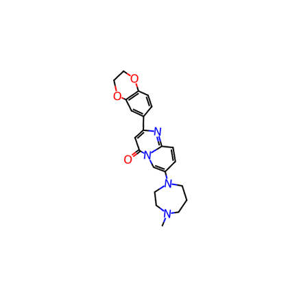 CN1CCCN(c2ccc3nc(-c4ccc5c(c4)OCCO5)cc(=O)n3c2)CC1